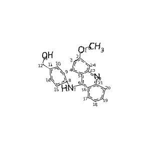 COc1ccc2c(Nc3ccc(CO)cc3)c3ccccc3nc2c1